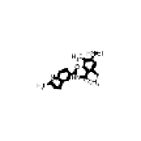 CCNc1cc(F)c([C@@H](C)NC(=O)c2ccc3nc(C(F)(F)F)ccc3c2)cc1C